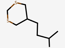 CC(C)CCC1CSCSC1